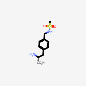 CS(=O)(=O)NCc1ccc(C[C@H](N)C(=O)O)cc1